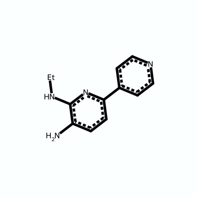 CCNc1nc(-c2ccncc2)ccc1N